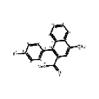 COC(=O)c1cc(OC(C)=O)c2ccccc2c1-c1ccc(Br)cc1